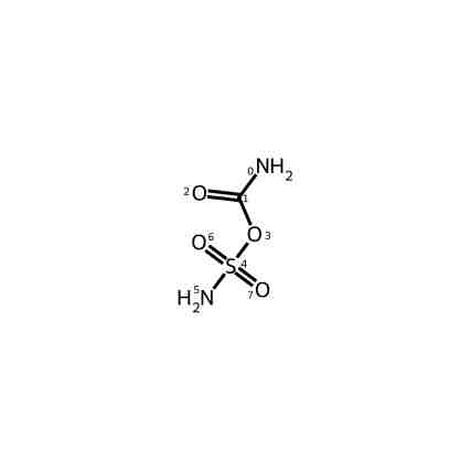 NC(=O)OS(N)(=O)=O